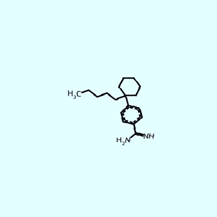 CCCCCC1(c2ccc(C(=N)N)cc2)CCCCC1